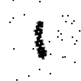 CC(C)(C)C(=O)ON1CCC(CCN2CCN(c3ccc(S(C)(=O)=O)c(F)c3)CC2)CC1